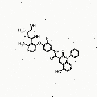 C[C@H](CO)NC(=N)c1c(Oc2ccc(NC(=O)c3cc4c(O)cccc4n(-c4ccccc4)c3=O)cc2F)ccnc1N